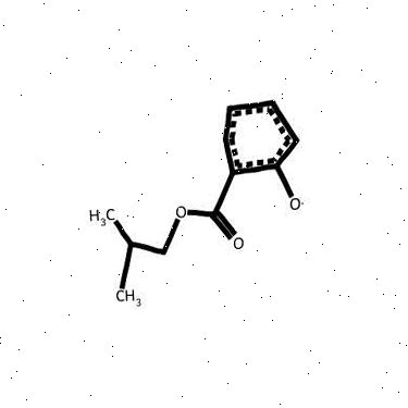 CC(C)COC(=O)c1ccccc1[O]